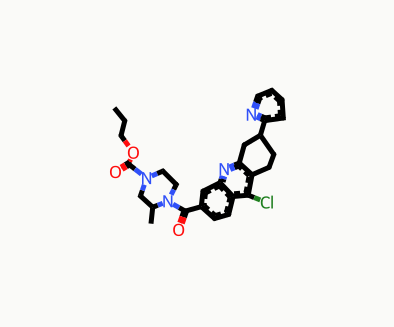 CCCOC(=O)N1CCN(C(=O)c2ccc3c(Cl)c4c(nc3c2)CC(c2ccccn2)CC4)C(C)C1